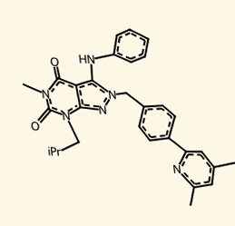 Cc1cc(C)nc(-c2ccc(Cn3nc4c(c3Nc3ccccc3)c(=O)n(C)c(=O)n4CC(C)C)cc2)c1